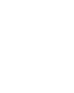 CC(CC(=O)O)(c1ccc(O)cc1)c1ccc(O)cc1